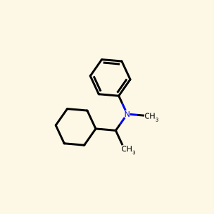 CC(C1CCCCC1)N(C)c1ccccc1